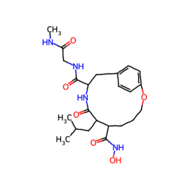 CNC(=O)CNC(=O)C1Cc2ccc(cc2)OCCCC(C(=O)NO)C(CC(C)C)C(=O)N1